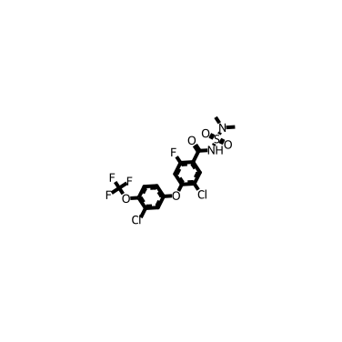 CN(C)S(=O)(=O)NC(=O)c1cc(Cl)c(Oc2ccc(OC(F)(F)F)c(Cl)c2)cc1F